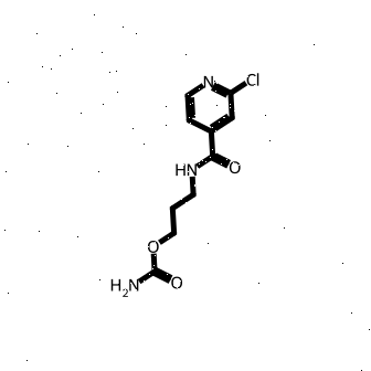 NC(=O)OCCCNC(=O)c1ccnc(Cl)c1